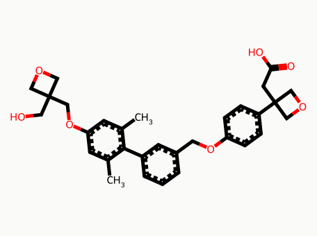 Cc1cc(OCC2(CO)COC2)cc(C)c1-c1cccc(COc2ccc(C3(CC(=O)O)COC3)cc2)c1